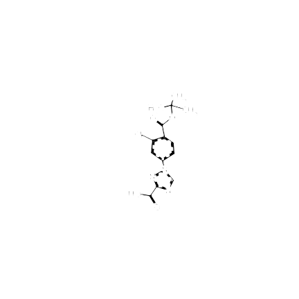 CC(C)(C)OC(=O)c1ccc(-n2cnc(C(=O)O)n2)cc1Cl